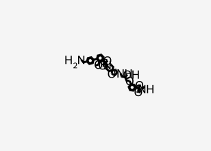 CNS(=O)(=O)c1cccc(OCC(O)CNC2COC3(CCN(S(=O)(=O)c4cccc(-c5ccc(CN)cc5)c4OC)CC3)C2)c1